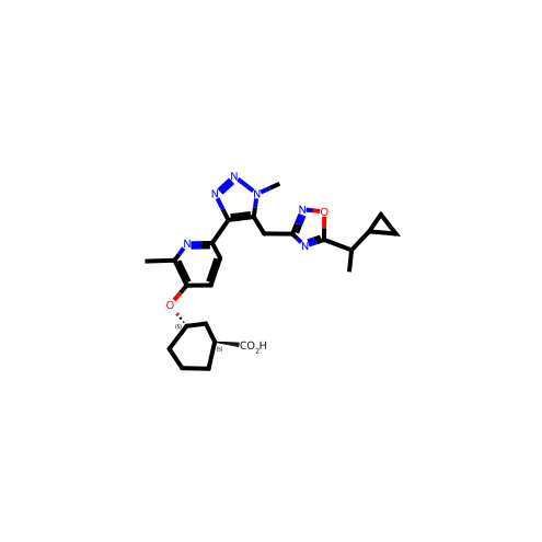 Cc1nc(-c2nnn(C)c2Cc2noc(C(C)C3CC3)n2)ccc1O[C@H]1CCC[C@H](C(=O)O)C1